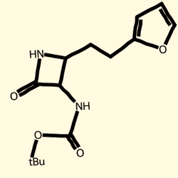 CC(C)(C)OC(=O)NC1C(=O)NC1CCc1ccco1